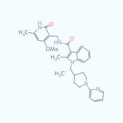 COc1cc(C)[nH]c(=O)c1CNC(=O)c1c(C)n([C@@H](C)C2CCN(c3ccccn3)CC2)c2ccccc12